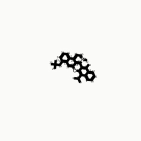 Cc1c2c(c(C(C)C)c3ccccc13)Oc1cc3c(CC(C)(C)C)cccc3c3cc[n+](C)c-2c13